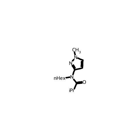 CCCCCCN(C(=O)C(C)C)c1ccn(C)n1